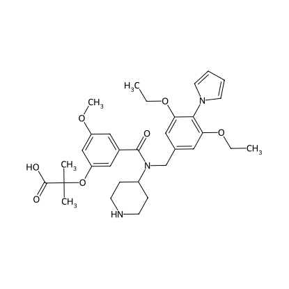 CCOc1cc(CN(C(=O)c2cc(OC)cc(OC(C)(C)C(=O)O)c2)C2CCNCC2)cc(OCC)c1-n1cccc1